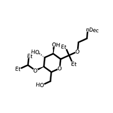 CCCCCCCCCCCCOC(CC)(CC)C1OC(CO)[C@@H](OC(CC)CC)[C@H](O)[C@H]1O